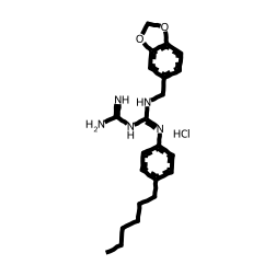 CCCCCCc1ccc(N=C(NCc2ccc3c(c2)OCO3)NC(=N)N)cc1.Cl